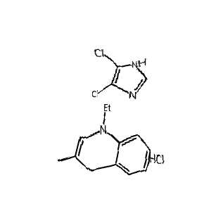 CCN1C=C(C)Cc2ccccc21.Cl.Clc1nc[nH]c1Cl